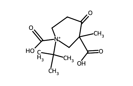 CC1(C(=O)O)C[N+](C(=O)O)(C(C)(C)C)CCC1=O